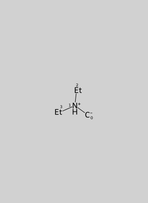 [CH2-][NH+](CC)CC